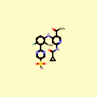 CNC(=O)c1cnc(NC(=O)C2CC2)cc1Nc1ccc(F)c(-c2ncc(S(=O)(=O)C(C)C)cn2)c1OC